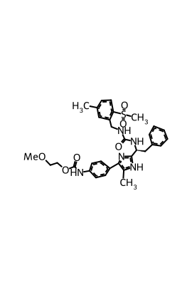 COCCOC(=O)Nc1ccc(-c2nc([C@H](Cc3ccccc3)NC(=O)NCc3cc(C)ccc3S(C)(=O)=O)[nH]c2C)cc1